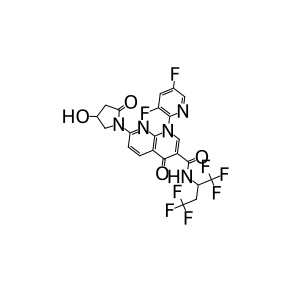 O=C(NC(CC(F)(F)F)C(F)(F)F)c1cn(-c2ncc(F)cc2F)c2nc(N3CC(O)CC3=O)ccc2c1=O